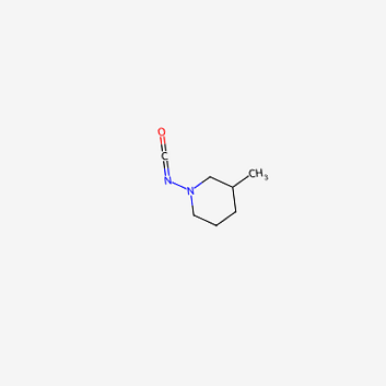 CC1CCCN(N=C=O)C1